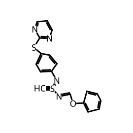 C#S(N=COc1ccccc1)=Nc1ccc(Sc2ncccn2)cc1